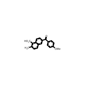 COc1ccc(C(=O)c2ccc3c(C(=O)O)c(C)ccc3c2)cc1